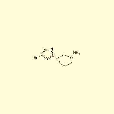 N[C@@H]1CCC[C@H](n2cc(Br)cn2)C1